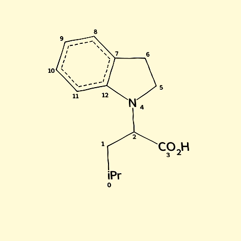 CC(C)CC(C(=O)O)N1CCc2ccccc21